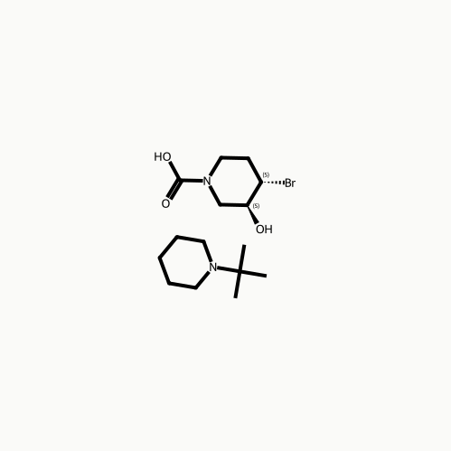 CC(C)(C)N1CCCCC1.O=C(O)N1CC[C@H](Br)[C@@H](O)C1